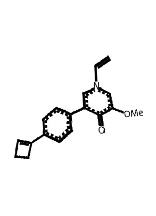 C=Cn1cc(OC)c(=O)c(-c2ccc(C3=CCC3)cc2)c1